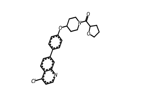 O=C(C1CCCO1)N1CCC(Oc2ccc(-c3ccc4c(Cl)ccnc4c3)cc2)CC1